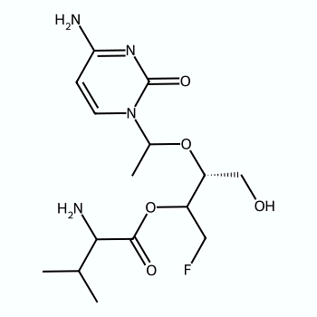 CC(C)C(N)C(=O)OC(CF)[C@@H](CO)OC(C)n1ccc(N)nc1=O